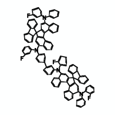 Fc1cccc(N(c2ccccc2)c2cc3c(c4ccccc24)-c2c(cc(N(c4ccc(-c5cccc(N(c6ccccc6F)c6cc7c(c8ccccc68)-c6c(cc(N(c8ccccc8)c8ccccc8F)c8ccccc68)C76c7ccccc7-c7ccccc76)c5)cc4)c4cccc(F)c4)c4ccccc24)C32c3ccccc3-c3ccccc32)c1